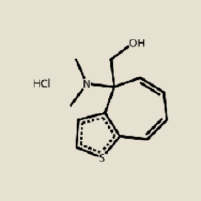 CN(C)C1(CO)C=CC=Cc2sccc21.Cl